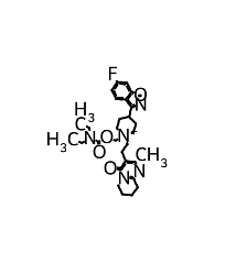 CCN(CC)C(=O)OC[N+]1(CCc2c(C)nc3n(c2=O)CCCC3)CCC(c2noc3cc(F)ccc23)CC1